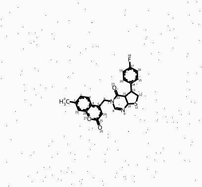 Cc1ccc2c(CN3C=NC4SCC(c5ccc(F)cc5)C4C3=O)cc(=O)oc2c1